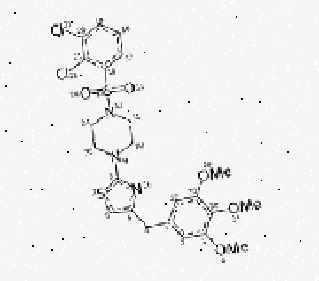 COc1cc(Cc2csc(N3CCN(S(=O)(=O)c4cccc(Cl)c4Cl)CC3)n2)cc(OC)c1OC